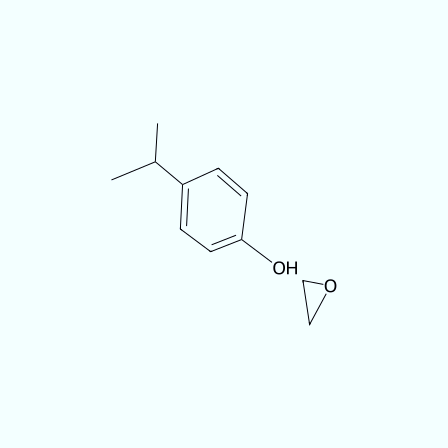 C1CO1.CC(C)c1ccc(O)cc1